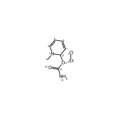 CCCl.CN1C=CC=CC1OC(N)=O